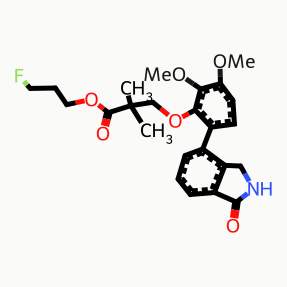 COc1ccc(-c2cccc3c2CNC3=O)c(OCC(C)(C)C(=O)OCCCF)c1OC